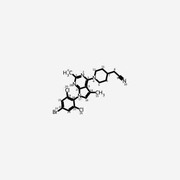 Cc1nc(N2CCC(CC#N)CC2)c2c(C)cn(-c3c(Cl)cc(Br)cc3Cl)c2n1